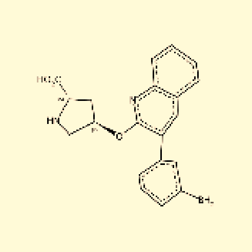 Bc1cccc(-c2cc3ccccc3nc2O[C@H]2CN[C@H](C(=O)O)C2)c1